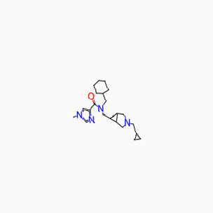 Cn1cnc(C(=O)N(CC2CCCCC2)CC2C3CN(CC4CC4)CC32)c1